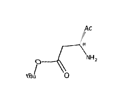 CC(=O)[C@H](N)CC(=O)OC(C)(C)C